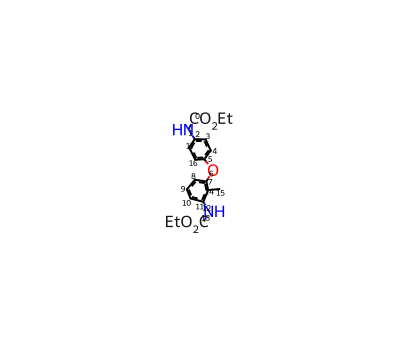 CCOC(=O)Nc1ccc(Oc2cccc(NC(=O)OCC)c2C)cc1